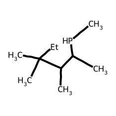 CCC(C)(C)C(C)C(C)PC